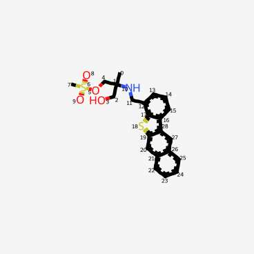 CC(CO)(COS(C)(=O)=O)NCc1cccc2c1sc1cc3ccccc3cc12